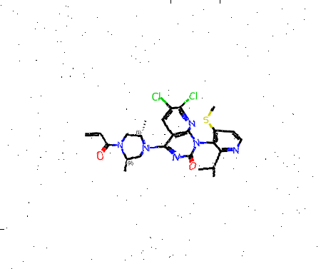 C=CC(=O)N1C[C@H](C)N(c2nc(=O)n(-c3c(SC)ccnc3C(C)C)c3nc(Cl)c(Cl)cc23)C[C@H]1C